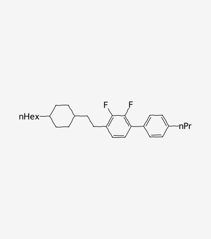 CCCCCCC1CCC(CCc2ccc(-c3ccc(CCC)cc3)c(F)c2F)CC1